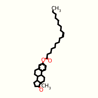 CCCCCCCC/C=C\CCCCCCCC(=O)Oc1ccc2c(c1)CCC1C2CCC2(C)C(=O)CCC12